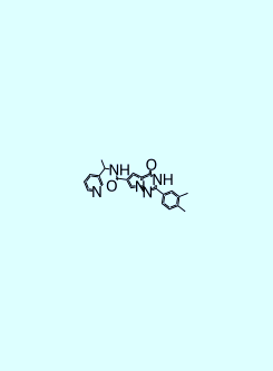 Cc1ccc(-c2nn3cc(C(=O)NC(C)c4cccnc4)cc3c(=O)[nH]2)cc1C